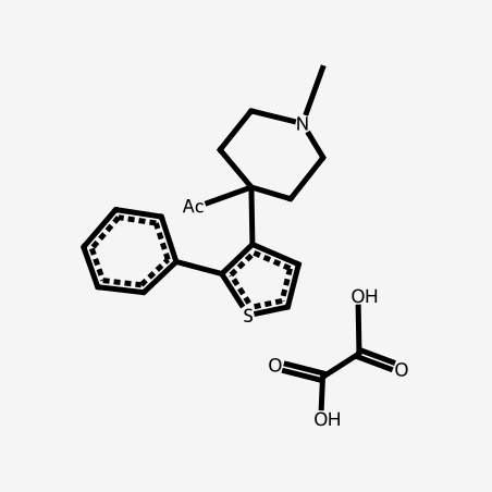 CC(=O)C1(c2ccsc2-c2ccccc2)CCN(C)CC1.O=C(O)C(=O)O